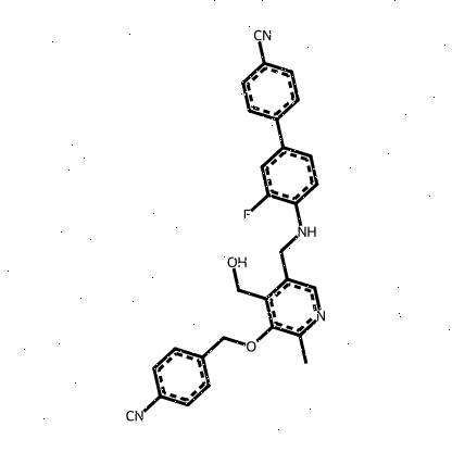 [C-]#[N+]c1ccc(COc2c(C)ncc(CNc3ccc(-c4ccc(C#N)cc4)cc3F)c2CO)cc1